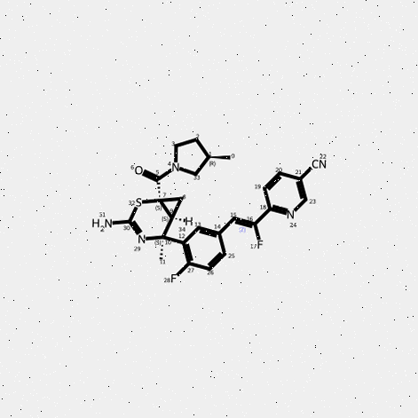 C[C@@H]1CCN(C(=O)[C@]23C[C@H]2[C@@](C)(c2cc(/C=C(\F)c4ccc(C#N)cn4)ccc2F)N=C(N)S3)C1